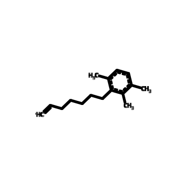 [CH]=CCCCCCc1c(C)ccc(C)c1C